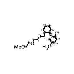 COCCOCCOCc1ccccc1-n1cc(C)ccc1=O